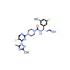 Cc1nc(C#N)nn1-c1nc(N2CCN(C(=O)N[C@@H](CC=N)c3cc(F)cc(C#N)c3)CC2)ncc1F